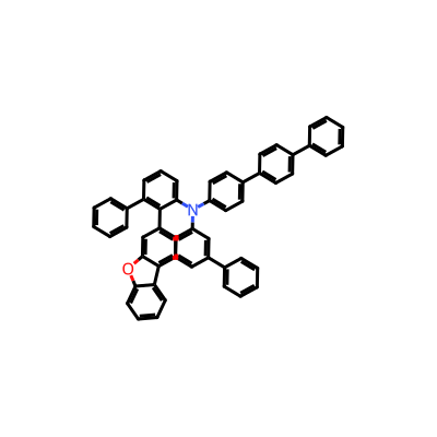 c1ccc(-c2ccc(-c3ccc(N(c4cccc(-c5ccccc5)c4)c4cccc(-c5ccccc5)c4-c4ccc5c(c4)oc4ccccc45)cc3)cc2)cc1